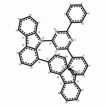 c1ccc(-c2nc(-c3ccccc3)nc(-n3c4ccccc4c4cccc(-c5ccc6oc7ccccc7c6c5)c43)n2)cc1